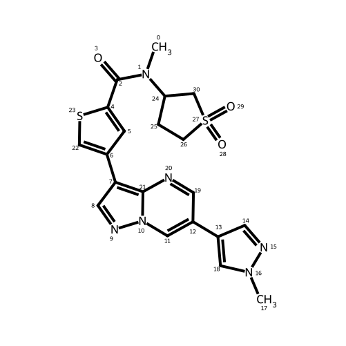 CN(C(=O)c1cc(-c2cnn3cc(-c4cnn(C)c4)cnc23)cs1)C1CCS(=O)(=O)C1